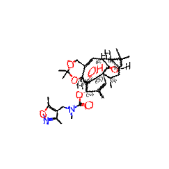 CC1=C[C@]23C(=O)[C@@H](C=C4COC(C)(C)O[C@H]4[C@]2(O)[C@H]1OC(=O)N(C)Cc1c(C)noc1C)[C@H]1[C@@H](C[C@H]3C)C1(C)C